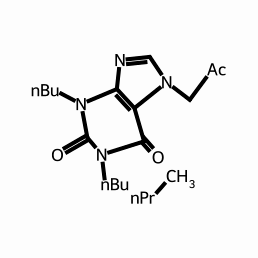 CCCC.CCCCn1c(=O)c2c(ncn2CC(C)=O)n(CCCC)c1=O